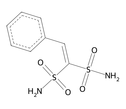 NS(=O)(=O)C(=Cc1ccccc1)S(N)(=O)=O